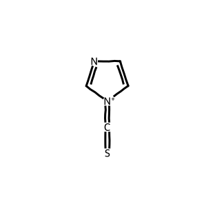 S=C=[N+]1C=CN=C1